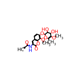 C#CC(=O)Nc1cc2ccc(OC3OC(C)=C(OC)C(O)C3O)c(OC)c2oc1=O